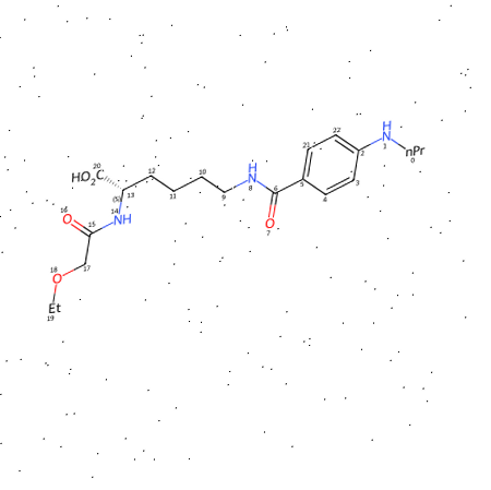 CCCNc1ccc(C(=O)NCCCC[C@H](NC(=O)COCC)C(=O)O)cc1